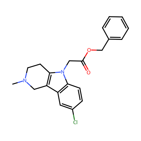 CN1CCc2c(c3cc(Cl)ccc3n2CC(=O)OCc2ccccc2)C1